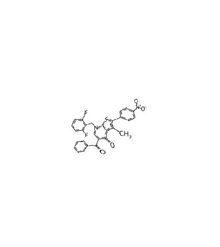 Cc1c(-c2ccc([N+](=O)[O-])cc2)sc2c1c(=O)c(C(=O)c1ccccc1)cn2Cc1c(F)cccc1F